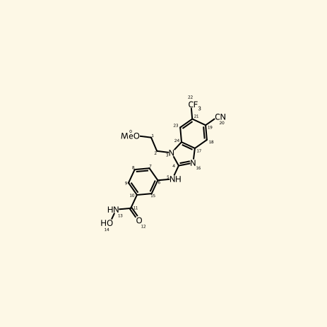 COCCn1c(Nc2cccc(C(=O)NO)c2)nc2cc(C#N)c(C(F)(F)F)cc21